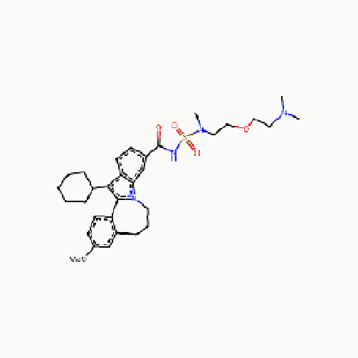 COc1ccc2c(c1)CCCn1c-2c(C2CCCCC2)c2ccc(C(=O)NS(=O)(=O)N(C)CCOCCN(C)C)cc21